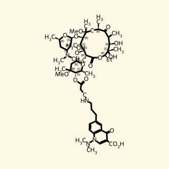 CC[C@H]1OC(=O)[C@H](C)[C@@H](O[C@H]2C[C@@](C)(OC)[C@@H](OC(=O)CCNCCCc3ccc4c(c3)c(=O)c(C(=O)O)cn4N(C)C)[C@H](C)O2)[C@H](C)[C@@H](O[C@@H]2O[C@H](C)C[C@H](N(C)C)[C@H]2O)[C@](C)(OC)C[C@@H](C)C(=O)C(C)[C@@H](O)[C@]1(C)O